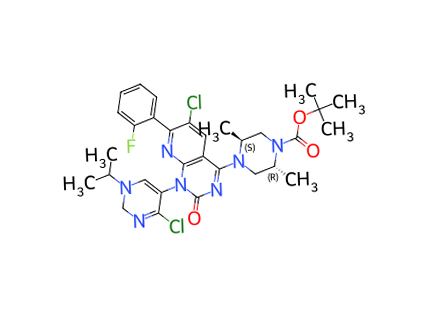 CC(C)N1C=C(n2c(=O)nc(N3C[C@@H](C)N(C(=O)OC(C)(C)C)C[C@@H]3C)c3cc(Cl)c(-c4ccccc4F)nc32)C(Cl)=NC1